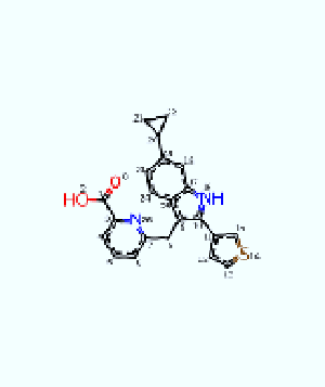 O=C(O)c1cccc(Cc2c(-c3ccsc3)[nH]c3cc(C4CC4)ccc23)n1